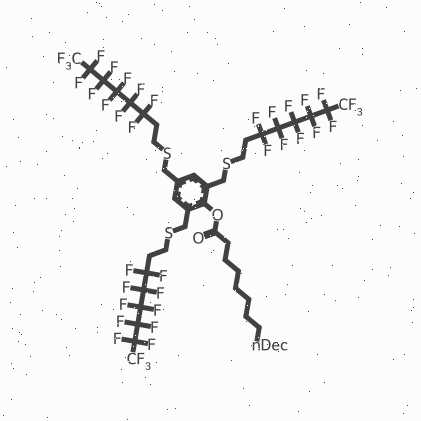 CCCCCCCCCCCCCCCCCC(=O)Oc1c(CSCCC(F)(F)C(F)(F)C(F)(F)C(F)(F)C(F)(F)C(F)(F)F)cc(CSCCC(F)(F)C(F)(F)C(F)(F)C(F)(F)C(F)(F)C(F)(F)F)cc1CSCCC(F)(F)C(F)(F)C(F)(F)C(F)(F)C(F)(F)C(F)(F)F